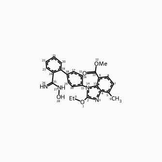 CCOc1nc2c(C)ccc(C(=O)OC)c2n1-c1ccc(-c2ccccc2C(=N)NO)cc1